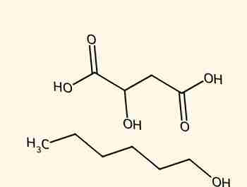 CCCCCCO.O=C(O)CC(O)C(=O)O